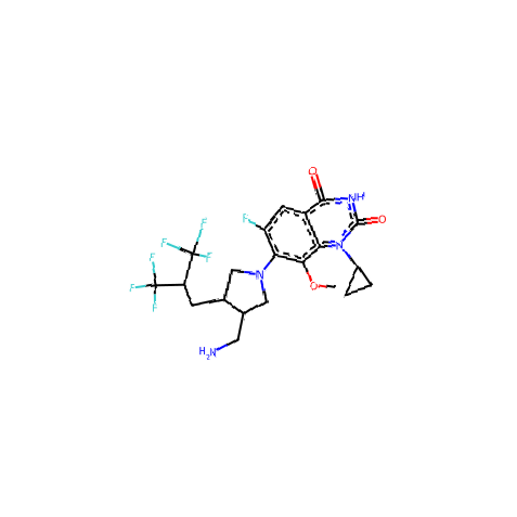 COc1c(N2CC(CN)C(CC(C(F)(F)F)C(F)(F)F)C2)c(F)cc2c(=O)[nH]c(=O)n(C3CC3)c12